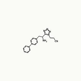 N#CCCn1nnnc1C(N)Cc1ccc(-c2ccccc2)cc1